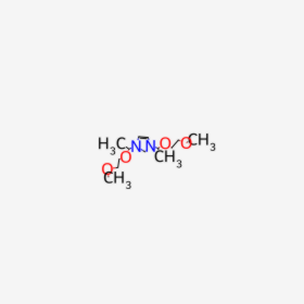 COCCOC(C)N1C=CN(C(C)OCCOC)C1